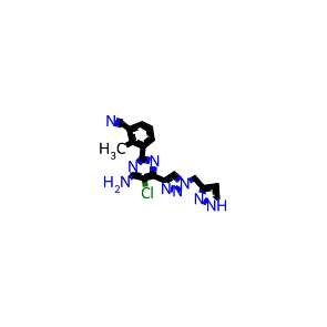 Cc1c(C#N)cccc1-c1nc(N)c(Cl)c(-c2cn(Cc3cc[nH]n3)nn2)n1